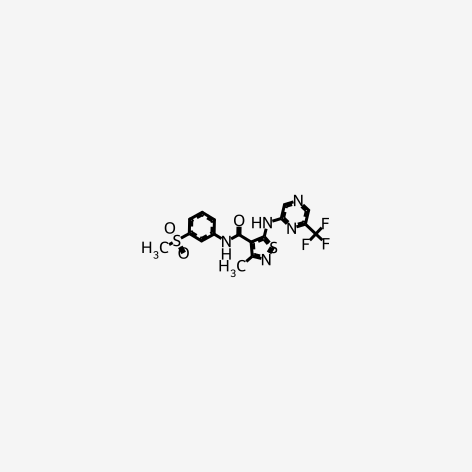 Cc1nsc(Nc2cncc(C(F)(F)F)n2)c1C(=O)Nc1cccc(S(C)(=O)=O)c1